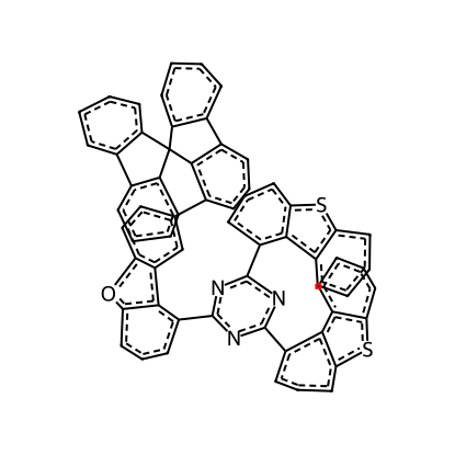 c1ccc2c(c1)-c1ccccc1C21c2ccccc2-c2cccc(-c3ccc4oc5cccc(-c6nc(-c7cccc8sc9ccccc9c78)nc(-c7cccc8sc9ccccc9c78)n6)c5c4c3)c21